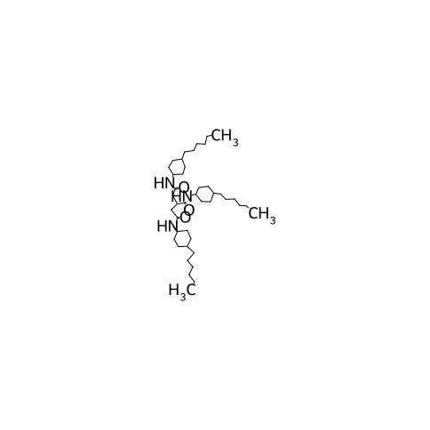 CCCCCCC1CCC(NC(=O)CC(CC(=O)NC2CCC(CCCCCC)CC2)C(=O)NC2CCC(CCCCCC)CC2)CC1